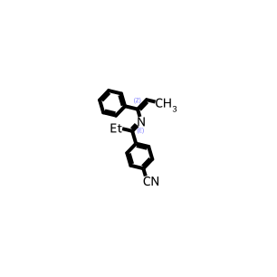 C/C=C(\N=C(/CC)c1ccc(C#N)cc1)c1ccccc1